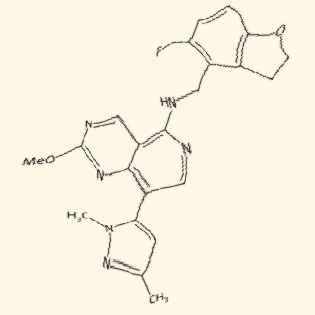 COc1ncc2c(NCc3c(F)ccc4c3CCO4)ncc(-c3cc(C)nn3C)c2n1